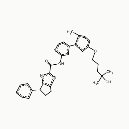 Cc1ccc(OCCCC(C)(C)O)cc1-c1ccnc(NC(=O)c2nc3n(n2)[C@@H](c2ccccc2)CC3)c1